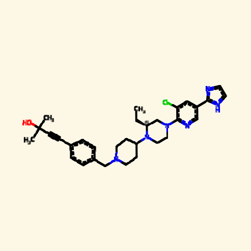 CC[C@H]1CN(c2ncc(-c3ncc[nH]3)cc2Cl)CCN1C1CCN(Cc2ccc(C#CC(C)(C)O)cc2)CC1